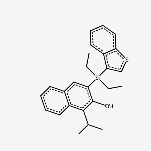 CC[Si](CC)(c1cc2ccccc2c(C(C)C)c1O)c1csc2ccccc12